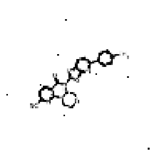 Cc1ccc(-c2ccc3nc(NC(=O)c4ccc(C#N)nc4N4CCOCC4)sc3n2)cc1